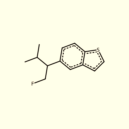 CC(C)C(CF)c1ccc2sccc2c1